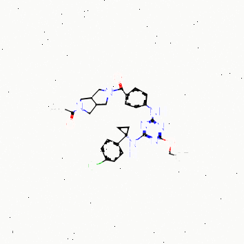 CC(=O)C(=O)N1CC2CN(C(=O)c3ccc(Nc4nc(NC5(c6ccc(Cl)cc6)CC5)nc(OCC(F)(F)F)n4)cc3)CC2C1